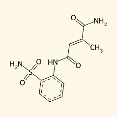 C/C(=C\C(=O)Nc1ccccc1S(N)(=O)=O)C(N)=O